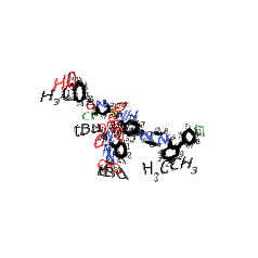 CC1(C)CCC(CN2CCN(c3ccc(C(=O)NS(=O)(=O)c4cnc(OC[C@H]5CC[C@](C)(O)CC5)c(Cl)c4)c(Oc4cccc5c4c(N(C(=O)OC(C)(C)C)C(=O)OC(C)(C)C)nn5C(=O)OC(C)(C)C)c3)CC2)=C(c2ccc(Cl)cc2)C1